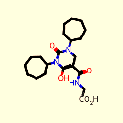 O=C(O)CNC(=O)C1=C(O)N(C2CCCCCC2)C(=O)N(C2CCCCCC2)C1